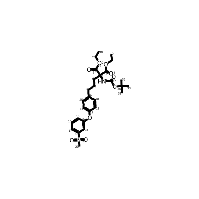 CCOC(=O)C(CCCc1ccc(Oc2cccc(S(C)(=O)=O)c2)cc1)(NC(=O)OC(C)(C)C)C(=O)OCC